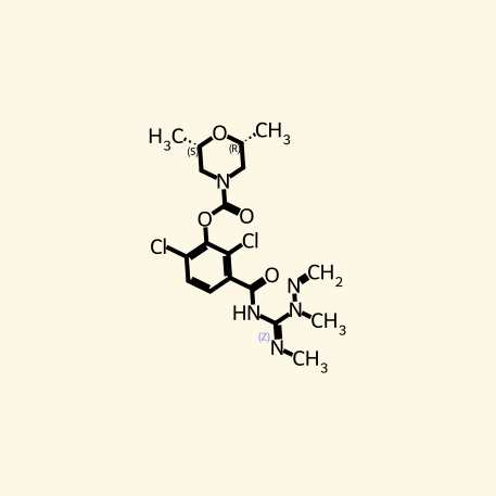 C=NN(C)/C(=N\C)NC(=O)c1ccc(Cl)c(OC(=O)N2C[C@@H](C)O[C@@H](C)C2)c1Cl